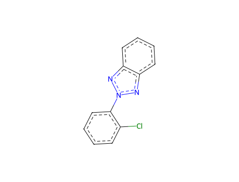 Clc1ccccc1-n1nc2ccccc2n1